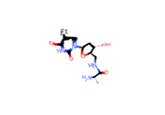 CCc1cn([C@H]2C[C@H](O)[C@@H](CNC(=O)[C@H](C)N)O2)c(=O)[nH]c1=O